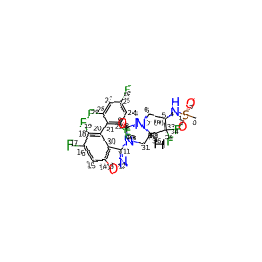 CS(=O)(=O)N[C@@H]1CN2C(=O)N(c3noc4cc(F)c(F)c(-c5c(F)cc(F)cc5F)c34)C[C@@H]2C1(F)F